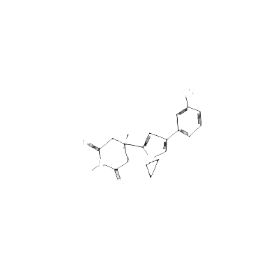 CN1C(=N)C[C@](C)(c2cc(-c3cccc(C#N)c3)cs2)[C@H](C2CC2)C1=O